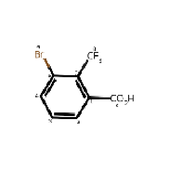 O=C(O)c1cccc(Br)c1C(F)(F)F